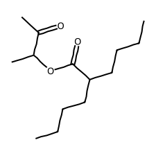 CCCCC(CCCC)C(=O)OC(C)C(C)=O